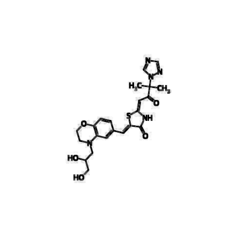 CC(C)(C(=O)/C=c1\[nH]c(=O)/c(=C/c2ccc3c(c2)N(CC(O)CO)CCO3)s1)n1cncn1